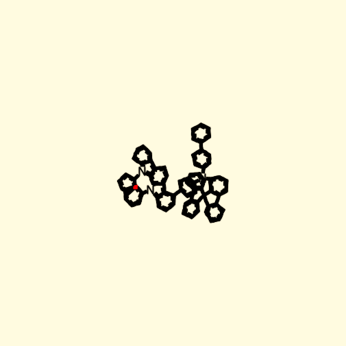 c1ccc(-c2ccc(N(c3ccc(-c4cccc5c4c4ccc6c7ccccc7n(-c7ccccc7)c6c4n5-c4ccccc4)cc3)c3cccc4c3C3(c5ccccc5-c5ccccc53)c3ccccc3-4)cc2)cc1